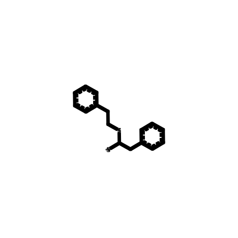 [S]C(Cc1ccccc1)SCCc1ccccc1